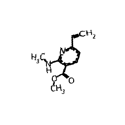 C=Cc1ccc(C(=O)OC)c(NC)n1